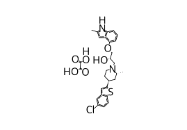 Cc1cc2c(OC[C@@H](O)CN3CC[C@H](c4cc5cc(Cl)ccc5s4)C[C@H]3C)cccc2[nH]1.O=C(O)C(=O)O